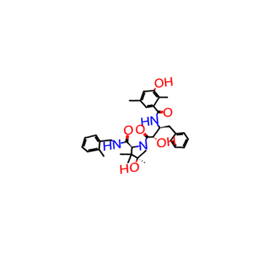 Cc1cc(O)c(C)c(C(=O)N[C@@H](Cc2ccccc2)[C@H](O)C(=O)N2C[C@@](C)(O)C(C)(C)[C@H]2C(=O)NCc2ccccc2C)c1